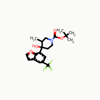 CC1CN(C(=O)OC(C)(C)C)CCC1(O)c1cc(C(F)(F)F)cc2ccoc12